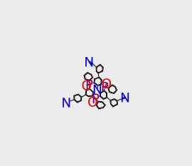 N#Cc1ccc(-c2cc3c4c(c2)P(=O)(c2ccccc2)c2cc(-c5cccc(C#N)c5)cc5c2N4c2c(cc(-c4cccc(C#N)c4)cc2P5(=O)c2ccccc2)P3(=O)c2ccccc2)cc1